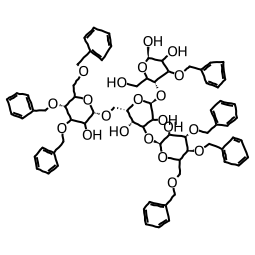 OCC1O[C@@H](O)C(O)C(OCc2ccccc2)[C@@H]1O[C@@H]1O[C@@H](CO[C@H]2OC(COCc3ccccc3)[C@@H](OCc3ccccc3)C(OCc3ccccc3)C2O)[C@@H](O)C(O[C@@H]2OC(COCc3ccccc3)[C@H](OCc3ccccc3)[C@@H](OCc3ccccc3)C2O)C1O